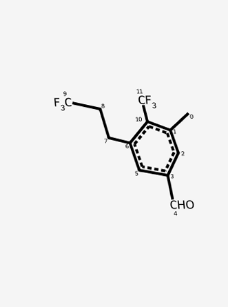 Cc1cc(C=O)cc(CCC(F)(F)F)c1C(F)(F)F